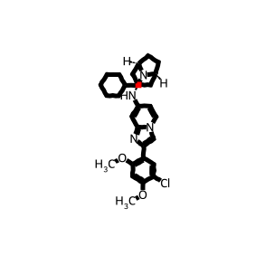 COc1cc(OC)c(-c2cn3ccc(N[C@@H]4C[C@H]5CC[C@@H](C4)N5CC4CCCCC4)cc3n2)cc1Cl